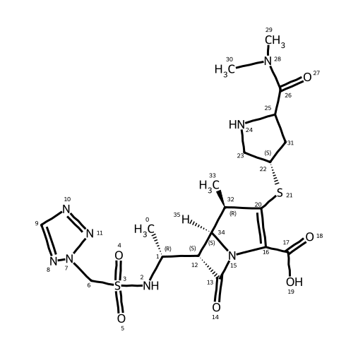 C[C@@H](NS(=O)(=O)Cn1ncnn1)[C@H]1C(=O)N2C(C(=O)O)=C(S[C@@H]3CNC(C(=O)N(C)C)C3)[C@H](C)[C@H]12